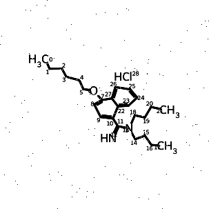 CCCCCCOc1ccc(C(=N)N(CCCC)CCCC)c2ccccc12.Cl